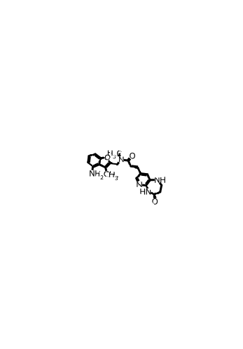 Cc1c(CN(C)C(=O)/C=C/c2cnc3c(c2)NCCC(=O)N3)oc2cccc(N)c12